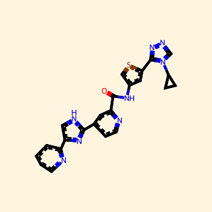 O=C(Nc1csc(-c2nncn2C2CC2)c1)c1cc(-c2nc(-c3ccccn3)c[nH]2)ccn1